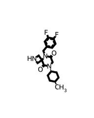 C[C@H]1CC[C@H](N2CC(=O)N(Cc3ccc(F)c(F)c3)C3(CNC3)C2=O)CC1